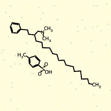 CCCCCCCCCCCCCCCCC(CCc1ccccc1)CN(C)C.Cc1ccc(S(=O)(=O)O)cc1